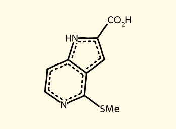 CSc1nccc2[nH]c(C(=O)O)cc12